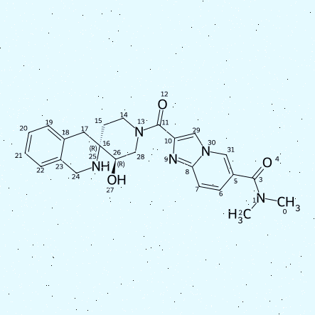 CN(C)C(=O)c1ccc2nc(C(=O)N3CC[C@]4(Cc5ccccc5CN4)[C@H](O)C3)cn2c1